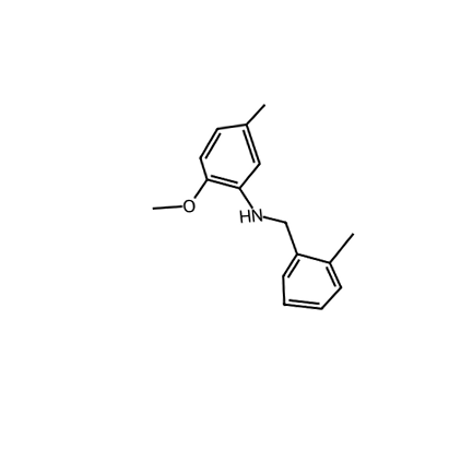 COc1ccc(C)cc1NCc1ccccc1C